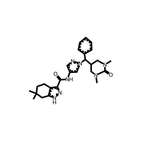 CN1CC(C(c2ccccc2)n2cc(NC(=O)c3n[nH]c4c3CCC(C)(C)C4)cn2)CN(C)C1=O